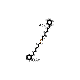 CC(=O)Oc1ccccc1CCCCCCCSCCCCCCCc1ccccc1OC(C)=O